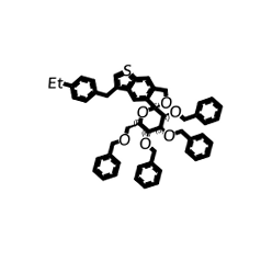 CCc1ccc(Cc2csc3cc4c(cc23)[C@]2(OC4)O[C@H](COCc3ccccc3)[C@@H](OCc3ccccc3)[C@H](OCc3ccccc3)[C@H]2OCc2ccccc2)cc1